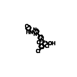 O=c1cc(-c2ccnc(NC3CCOCC3)n2)ccn1[C@H](CCO)c1ccc(Cl)cc1Cl